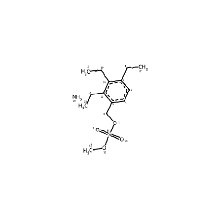 CCc1ccc(COS(=O)(=O)OC)c(CC)c1CC.N